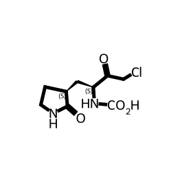 O=C(O)N[C@@H](C[C@@H]1CCNC1=O)C(=O)CCl